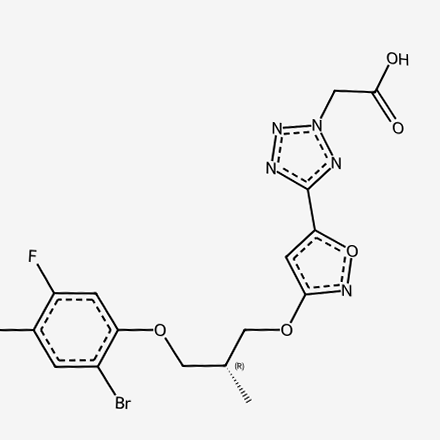 C[C@@H](COc1cc(-c2nnn(CC(=O)O)n2)on1)COc1cc(F)c(F)cc1Br